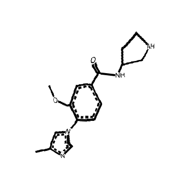 COc1cc(C(=O)NC2CCNC2)ccc1-n1cnc(C)c1